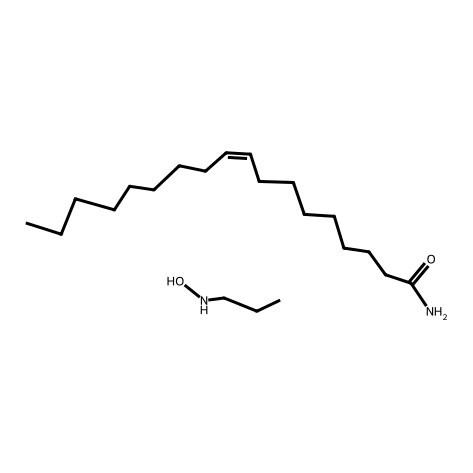 CCCCCCCC/C=C\CCCCCCCC(N)=O.CCCNO